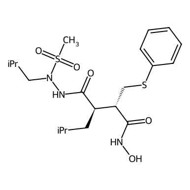 CC(C)C[C@@H](C(=O)NN(CC(C)C)S(C)(=O)=O)[C@H](CSc1ccccc1)C(=O)NO